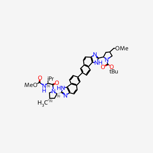 COCC1CC(c2nc3ccc4cc(-c5ccc6c(ccc7nc([C@@H]8C[C@H](C)CN8C(=O)[C@@H](NC(=O)OC)C(C)C)[nH]c76)c5)ccc4c3[nH]2)N(C(=O)OC(C)(C)C)C1